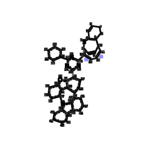 C1#CC2SC3=C(CCC=C3)C1/C=C\C=C/2c1nc(-c2ccccc2)nc(-c2cccc3c2oc2cccc(-n4c5ccccc5c5ccccc54)c23)n1